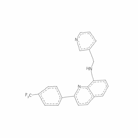 FC(F)(F)c1ccc(-c2ccc3cccc(NCc4cccnc4)c3n2)cc1